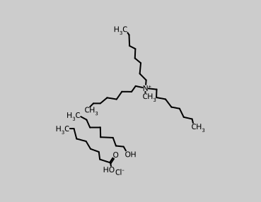 CCCCCCCC(=O)O.CCCCCCCCO.CCCCCCCC[N+](C)(CCCCCCCC)CCCCCCCC.[Cl-]